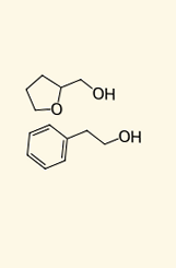 OCC1CCCO1.OCCc1ccccc1